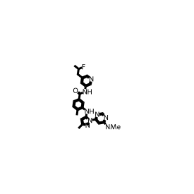 CNc1cc(-n2nc(C)cc2Nc2cc(C(=O)Nc3cncc(CC(C)F)c3)ccc2C)ncn1